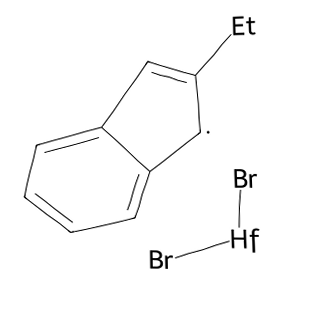 CCC1=Cc2ccccc2[CH]1.[Br][Hf][Br]